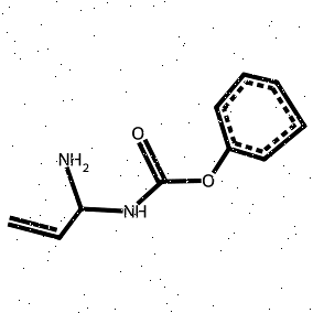 C=CC(N)NC(=O)Oc1ccccc1